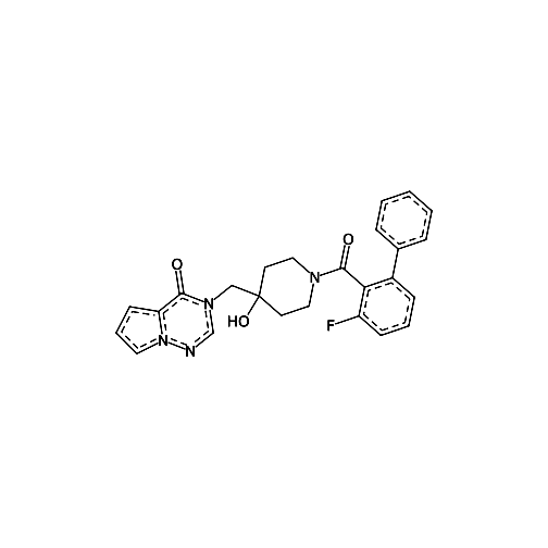 O=C(c1c(F)cccc1-c1ccccc1)N1CCC(O)(Cn2cnn3cccc3c2=O)CC1